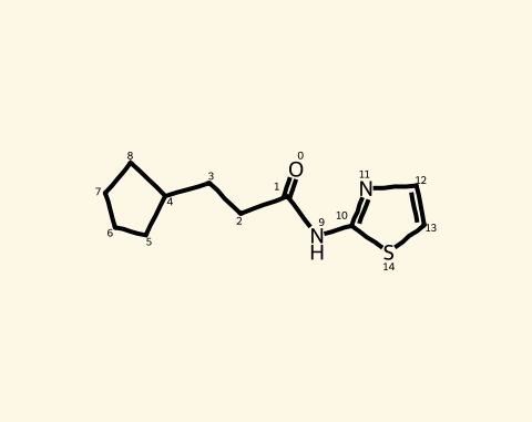 O=C(CCC1CCCC1)Nc1nccs1